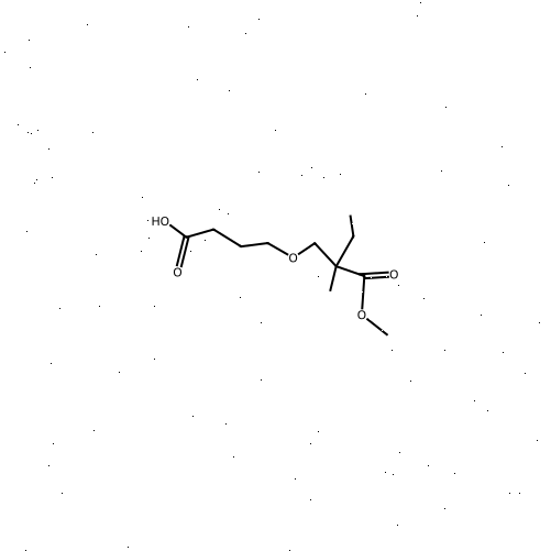 CCC(C)(COCCCC(=O)O)C(=O)OC